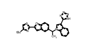 CC(c1ccc2oc(-c3nc(C(C)(C)C)cs3)cc2c1)n1cc(-c2nnn[nH]2)c2ccccc21